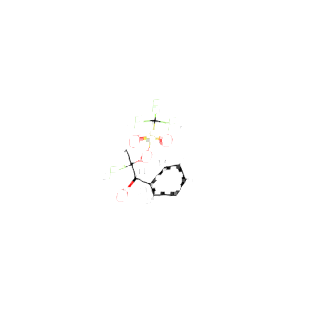 CC(F)(OS(=O)(=O)C(F)(F)F)C(=O)c1ccccc1